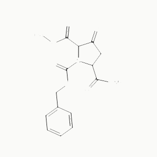 COC(=O)C1CC(=O)C(C(=O)OC(C)(C)C)N1C(=O)OCc1ccccc1